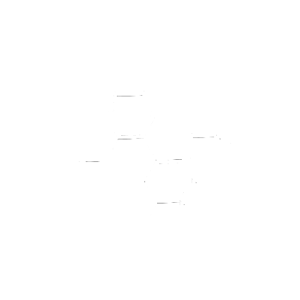 COc1cc(F)ccc1-c1cc(Cl)nnc1CN